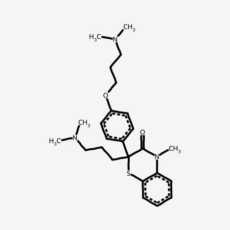 CN(C)CCCOc1ccc(C2(CCCN(C)C)Sc3ccccc3N(C)C2=O)cc1